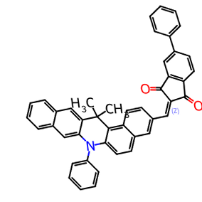 CC1(C)c2cc3ccccc3cc2N(c2ccccc2)c2ccc3cc(/C=C4/C(=O)c5ccc(-c6ccccc6)cc5C4=O)ccc3c21